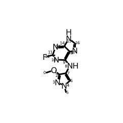 COc1nn(C)cc1Nc1nc(F)nc2[nH]cnc12